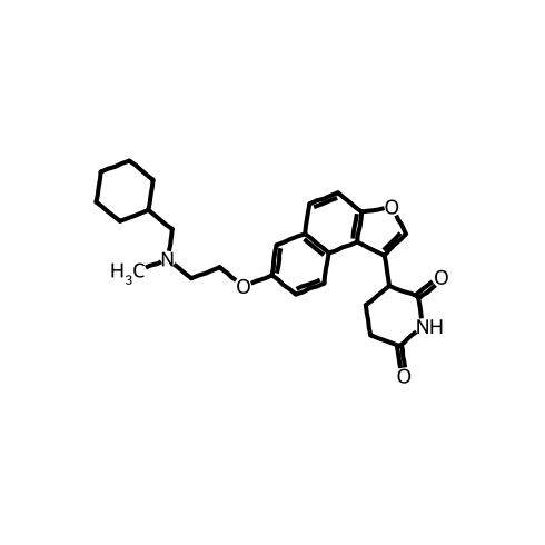 CN(CCOc1ccc2c(ccc3occ(C4CCC(=O)NC4=O)c32)c1)CC1CCCCC1